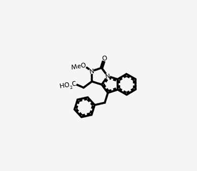 CON1C(=O)n2c(c(Cc3ccccc3)c3ccccc32)C1CC(=O)O